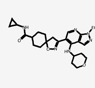 CCn1ncc2c(NC3CCOCC3)c(C3=NOC4(CCC(C(=O)NC5CC5)CC4)C3)cnc21